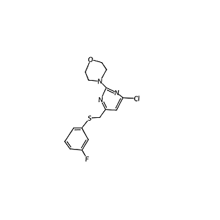 Fc1cccc(SCc2cc(Cl)nc(N3CCOCC3)n2)c1